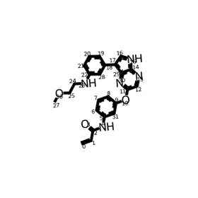 C=CC(=O)Nc1cccc(Oc2cnc3[nH]cc(-c4cccc(NCCOC)c4)c3n2)c1